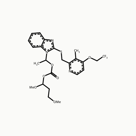 COCCC(OC)OC(=O)OC(C)n1c(SCc2nccc(OCC(F)(F)F)c2C)nc2ccccc21